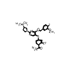 COc1cc(COc2nc(N3CCC(N(C)C)C3)ncc2Sc2ccc(C(N)=O)c(Cl)c2)ccc1F